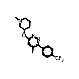 Cc1cc(OC2CCCN(C)C2)nnc1-c1ccc(C(F)(F)F)cc1